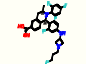 C[C@@H]1Cc2cc(B(O)O)ccc2[C@H](c2c(F)cc(NC3CN(CCCF)C3)cc2F)N1c1ccc(F)cc1F